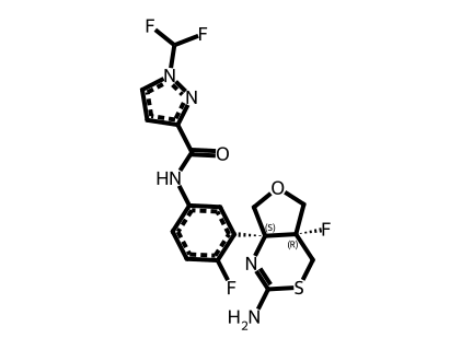 NC1=N[C@@]2(c3cc(NC(=O)c4ccn(C(F)F)n4)ccc3F)COC[C@@]2(F)CS1